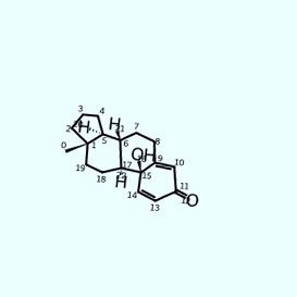 C[C@@]12CCC[C@H]1[C@@H]1CCC3=CC(=O)C=C[C@]3(O)[C@H]1CC2